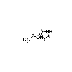 C1CCNC1.O=C(O)CO